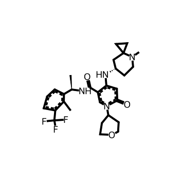 Cc1c([C@@H](C)NC(=O)c2cn(C3CCOCC3)c(=O)cc2N[C@H]2CCN(C)C3(CC3)C2)cccc1C(F)(F)F